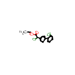 CCOC(=O)C(Cl)c1ccc(-c2ccccc2Cl)cc1